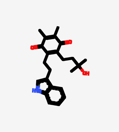 CC1=C(C)C(=O)C(CCC(C)(C)O)=C(CCc2c[nH]c3ccccc23)C1=O